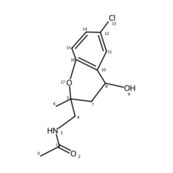 CC(=O)NCC1(C)CC(O)c2cc(Cl)ccc2O1